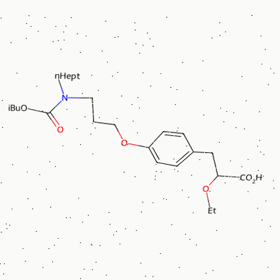 CCCCCCCN(CCCOc1ccc(CC(OCC)C(=O)O)cc1)C(=O)OCC(C)C